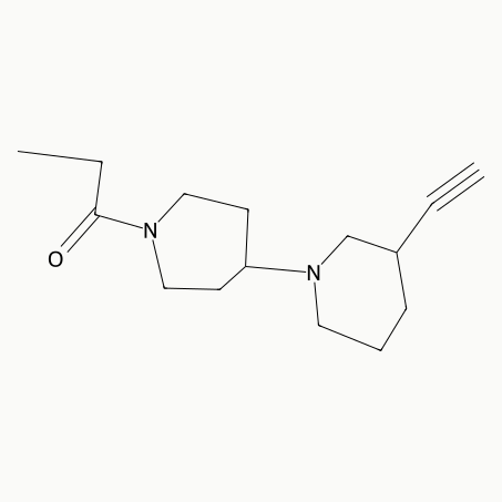 C#CC1CCCN(C2CCN(C(=O)CC)CC2)C1